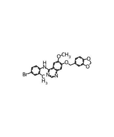 COc1cc2c(Nc3ccc(Br)cc3C)ncnc2cc1OCc1ccc2c(c1)OCO2